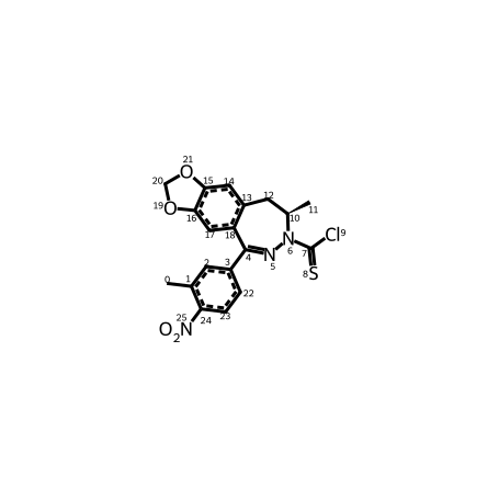 Cc1cc(C2=NN(C(=S)Cl)[C@H](C)Cc3cc4c(cc32)OCO4)ccc1[N+](=O)[O-]